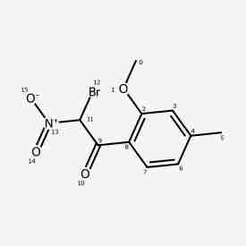 COc1cc(C)ccc1C(=O)C(Br)[N+](=O)[O-]